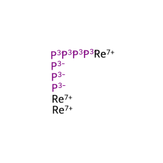 [P-3].[P-3].[P-3].[P-3].[P-3].[P-3].[P-3].[Re+7].[Re+7].[Re+7]